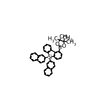 CC1(C)OB(c2cccc3c2-c2ccccc2[Si]3(c2ccc3ccccc3c2)c2ccc3ccccc3c2)OC1(C)C